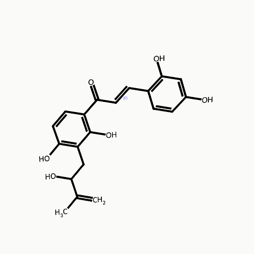 C=C(C)C(O)Cc1c(O)ccc(C(=O)/C=C/c2ccc(O)cc2O)c1O